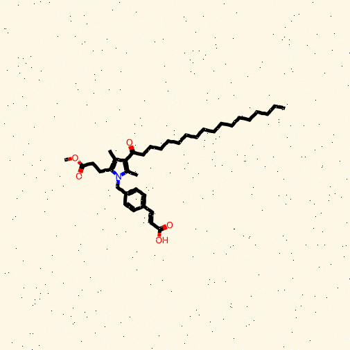 CCCCCCCCCCCCCCCCCC(=O)c1c(C)c(CCC(=O)OC)n(Cc2ccc(C=CC(=O)O)cc2)c1C